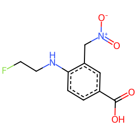 O=C(O)c1ccc(NCCF)c(C[N+](=O)[O-])c1